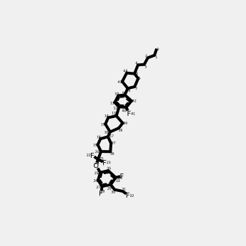 CCCCCC1CCC(c2ccc(C3CCC(C4CCC(C(F)(F)Oc5cc(F)c(CCF)c(F)c5)CC4)CC3)c(F)c2)CC1